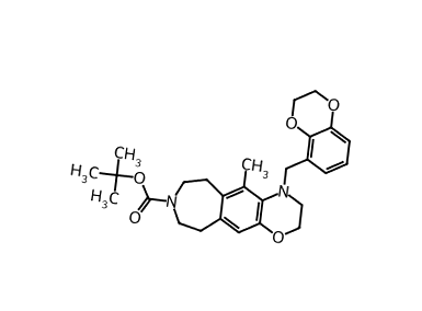 Cc1c2c(cc3c1N(Cc1cccc4c1OCCO4)CCO3)CCN(C(=O)OC(C)(C)C)CC2